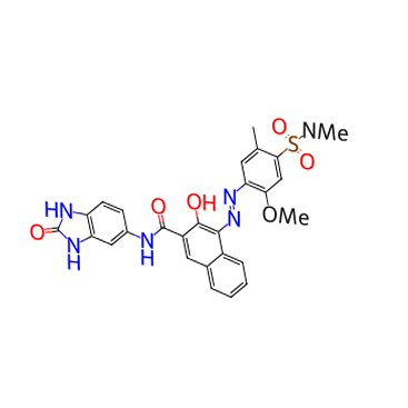 CNS(=O)(=O)c1cc(OC)c(N=Nc2c(O)c(C(=O)Nc3ccc4[nH]c(=O)[nH]c4c3)cc3ccccc23)cc1C